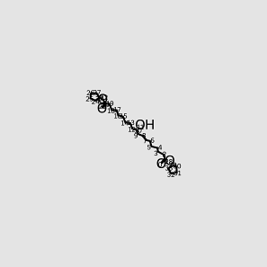 O=C(CCCCCCCCC(O)CCCCCCCCC(=O)OC1CCCC1)OC1CCCC1